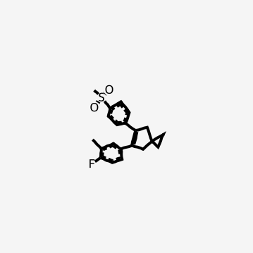 Cc1cc(C2=C(c3ccc(S(C)(=O)=O)cc3)CC3(CC3)C2)ccc1F